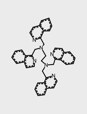 c1ccc2c(CN(CCN(Cc3nccc4ccccc34)Cc3nccc4ccccc34)Cc3nccc4ccccc34)nccc2c1